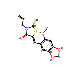 C=CCN1C(=O)C(=Cc2cc3c(cc2OC)OCO3)SC1=S